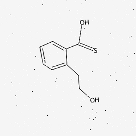 OCCc1ccccc1C(O)=S